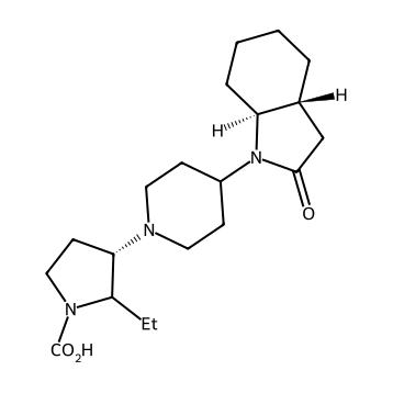 CCC1[C@@H](N2CCC(N3C(=O)C[C@H]4CCCC[C@@H]43)CC2)CCN1C(=O)O